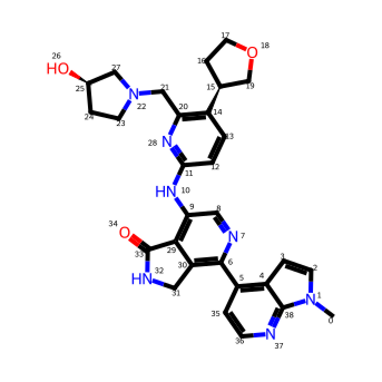 Cn1ccc2c(-c3ncc(Nc4ccc([C@H]5CCOC5)c(CN5CC[C@@H](O)C5)n4)c4c3CNC4=O)ccnc21